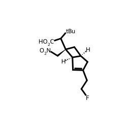 CC(C)(C)C(C(=O)O)[C@]1(C[N+](=O)[O-])C[C@H]2CC(CCF)=C[C@H]21